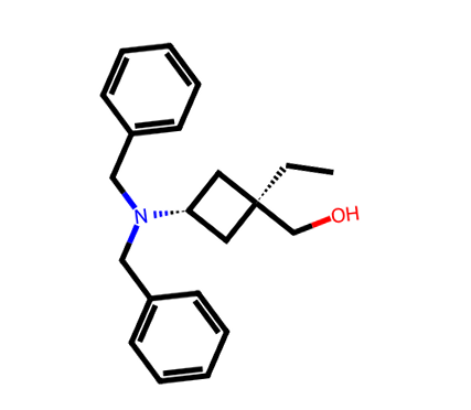 CC[C@]1(CO)C[C@H](N(Cc2ccccc2)Cc2ccccc2)C1